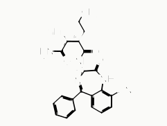 CCC[C@H](C(N)=O)[C@@H](CCC(F)(F)F)C(=O)N[C@H]1N=C(c2ccccc2)c2cccc(C#N)c2NC1=O